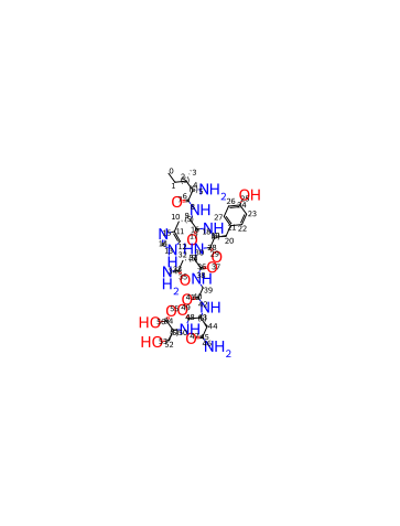 CC[C@H](C)[C@H](N)C(=O)N[C@@H](Cc1c[nH]cn1)C(=O)N[C@@H](Cc1ccc(O)cc1)C(=O)N[C@@H](CC(N)=O)C(=O)NCC(=O)N[C@@H](CC(N)=O)C(=O)N[C@@H](CO)C(=O)O